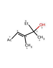 CCC(C)(O)C(C)=CC(C)=O